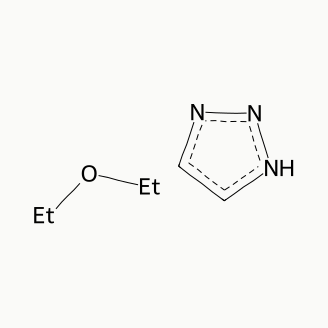 CCOCC.c1c[nH]nn1